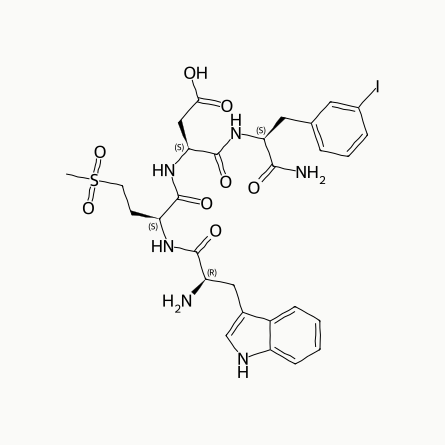 CS(=O)(=O)CC[C@H](NC(=O)[C@H](N)Cc1c[nH]c2ccccc12)C(=O)N[C@@H](CC(=O)O)C(=O)N[C@@H](Cc1cccc(I)c1)C(N)=O